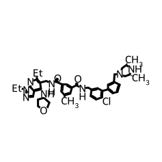 CCc1nc2c(cnn2CC)c(NC2CCOCC2)c1CNC(=O)c1cc(C)cc(C(=O)NCc2ccc(Cl)c(-c3cccc(CN4C[C@@H](C)N[C@@H](C)C4)c3)c2)c1